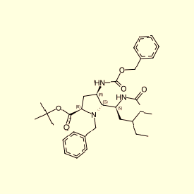 CCC(CC)C[C@H](NC(C)=O)[C@H]1[C@H](NC(=O)OCc2ccccc2)C[C@H](C(=O)OC(C)(C)C)N1Cc1ccccc1